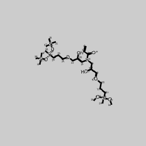 C=CC(=O)N(CC(O)COCCC[Si](C)(OC)OC)CC(O)COCCC[Si](C)(O[Si](C)(C)C)O[Si](C)(C)C